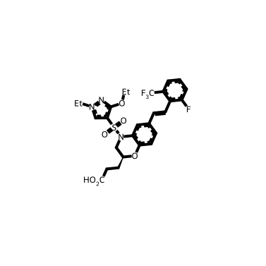 CCOc1nn(CC)cc1S(=O)(=O)N1C[C@H](CCC(=O)O)Oc2ccc(C=Cc3c(F)cccc3C(F)(F)F)cc21